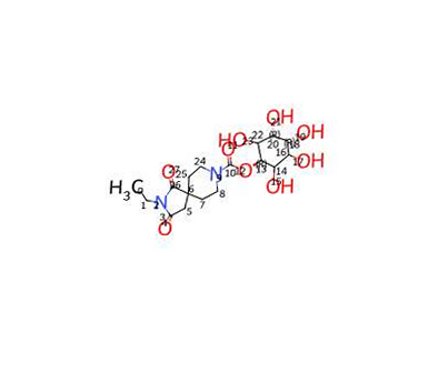 CCN1C(=O)CC2(CCN(C(=O)O[C@@H]3C(O)C(O)[C@@H](O)[C@@H](O)C3O)CC2)C1=O